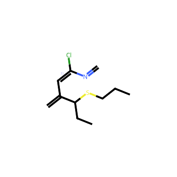 C=N/C(Cl)=C\C(=C)C(CC)SCCC